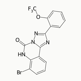 O=c1[nH]c2c(Br)cccc2c2nc(-c3ccccc3OC(F)(F)F)nn12